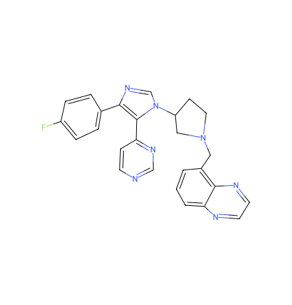 Fc1ccc(-c2ncn(C3CCN(Cc4cccc5nccnc45)C3)c2-c2ccncn2)cc1